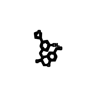 Cc1cc(CN2C(=O)COc3ccc(C=O)cc32)cc(-c2ccoc2)c1